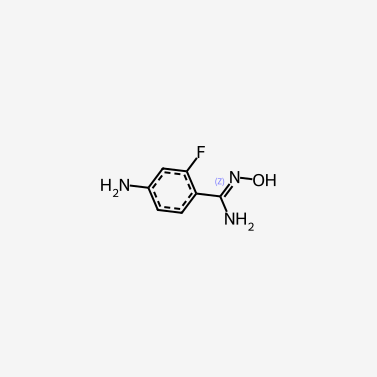 N/C(=N\O)c1ccc(N)cc1F